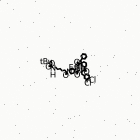 CCNC(=O)C1(Cc2ccccc2)CCCN(C(=O)C(Cc2ccc(Cl)c(Cl)c2)NC(=O)C2(C)CCN(C(=O)CCCCCNC(=O)OC(C)(C)C)CC2)C1